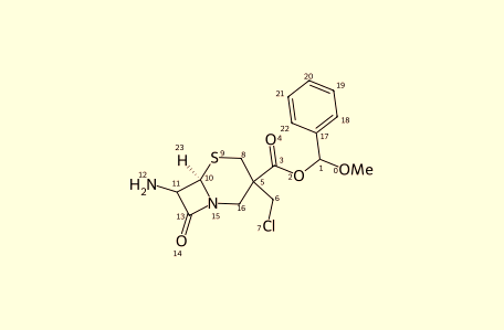 COC(OC(=O)C1(CCl)CS[C@@H]2C(N)C(=O)N2C1)c1ccccc1